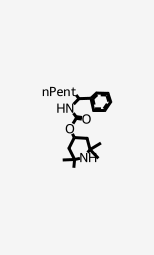 CCCCCC(NC(=O)OC1CC(C)(C)NC(C)(C)C1)c1ccccc1